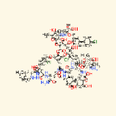 CN[C@H](CC(C)C)C(=O)NC1C(=O)NC(C(N)=O)CC(=O)N[C@H]2C(=O)NC3C(=O)N[C@H](C(=O)N[C@@H](C(=O)O)c4cc(O)cc(O)c4-c4cc3ccc4O)[C@H](OC3CC(C)(N)C(O)C(C)O3)c3ccc(c(Cl)c3)Oc3cc2cc(c3OC2OC(CO)[C@H](O)C(O)C2OC2CC(C)(NCC(OCc3cccc(-c4ccc(Cl)cc4)c3)C(=O)O)C(O)C(C)O2)Oc2ccc(cc2Cl)[C@H]1O